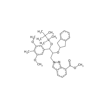 COC(=O)c1cccc2cn(CC(OC3Cc4ccccc4C3)C(O[Si](C)(C)C(C)(C)C)c3cc(OC)c(C)c(OC)c3)nc12